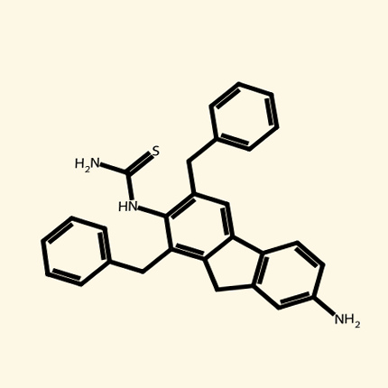 NC(=S)Nc1c(Cc2ccccc2)cc2c(c1Cc1ccccc1)Cc1cc(N)ccc1-2